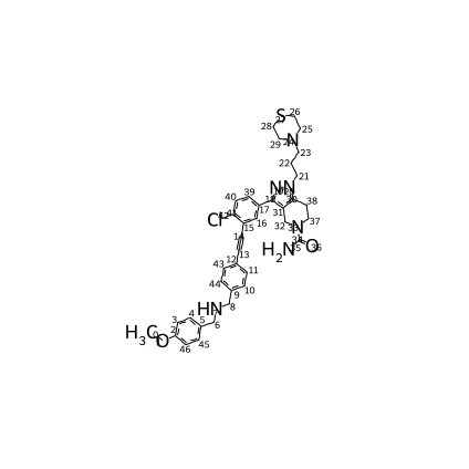 COc1ccc(CNCc2ccc(C#Cc3cc(-c4nn(CCCN5CCSCC5)c5c4CN(C(N)=O)CC5)ccc3Cl)cc2)cc1